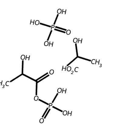 CC(O)C(=O)O.CC(O)C(=O)OP(=O)(O)O.O=P(O)(O)O